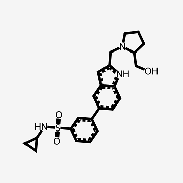 O=S(=O)(NC1CC1)c1cccc(-c2ccc3[nH]c(CN4CCCC4CO)cc3c2)c1